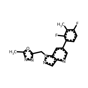 Cc1nnc(Cn2ncc3ncc(-c4ccc(F)c(C)c4F)cc32)o1